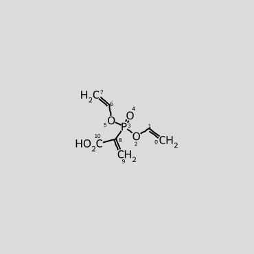 C=COP(=O)(OC=C)C(=C)C(=O)O